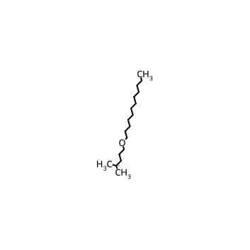 CCCCCCCCCCCCOCCC[C](C)C